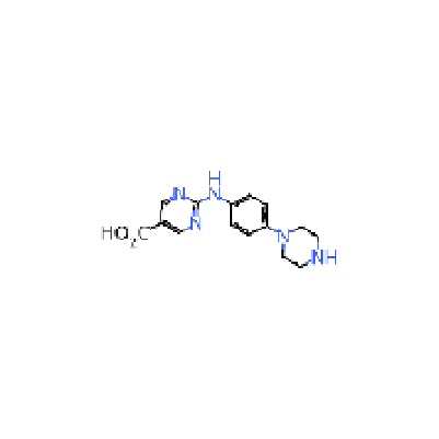 O=C(O)c1cnc(Nc2ccc(N3CCNCC3)cc2)nc1